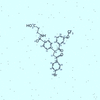 O=C(O)CCNC(=O)c1ccc(C(CC(=O)c2ccc(Br)cc2)C(=O)c2cccc(OC(F)(F)F)c2)cc1